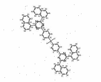 CC(C)(c1ccc(-c2cc(-c3cccc4ccccc34)nc(-c3cccc4ccccc34)n2)cc1)c1ccc(-c2nc(-c3cccc4ccccc34)nc(-c3cccc4ccccc34)n2)cc1